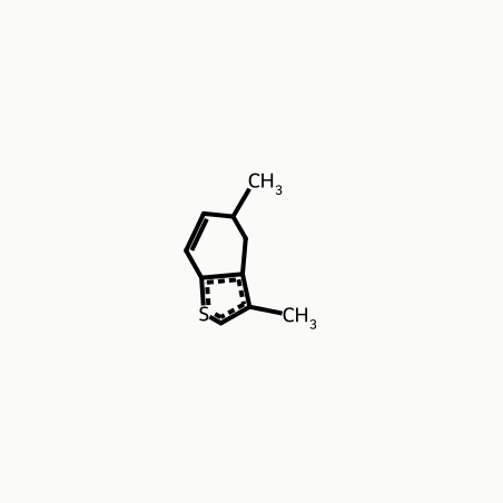 Cc1csc2c1CC(C)C=C2